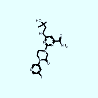 CC(C)(O)CNc1cc(C(N)=O)nc(N2CCN(c3cncc(F)c3)C(=O)C2)n1